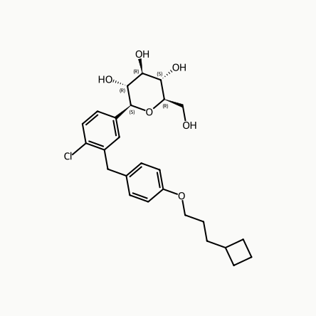 OC[C@H]1O[C@@H](c2ccc(Cl)c(Cc3ccc(OCCCC4CCC4)cc3)c2)[C@H](O)[C@@H](O)[C@@H]1O